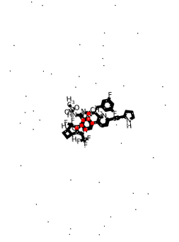 Cn1nc(NS(C)(=O)=O)c2c(Cl)ccc(-c3ccc(C#CC4CCCN4)nc3[C@H](Cc3cc(F)cc(F)c3)NC(=O)Cn3nc(C(F)(F)F)c4c3C(F)(F)[C@@H]3CC[C@H]43)c21